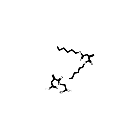 C=C(CC(=O)O)C(=O)OCC(O)O.C=C(CC(=O)OCCCCCC)C(=O)OCCCCCC